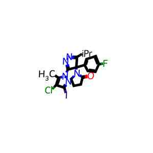 Cc1c(Cl)c(I)nn1C1=NN=C(C(C)C)C1(c1ccc(F)cc1)N1CCCC1=O